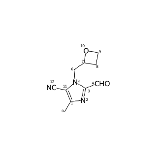 Cc1nc(C=O)n(CC2CCO2)c1C#N